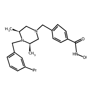 CC(C)c1cccc(CN2[C@H](C)CN(Cc3ccc(C(=O)NO)cc3)C[C@@H]2C)c1